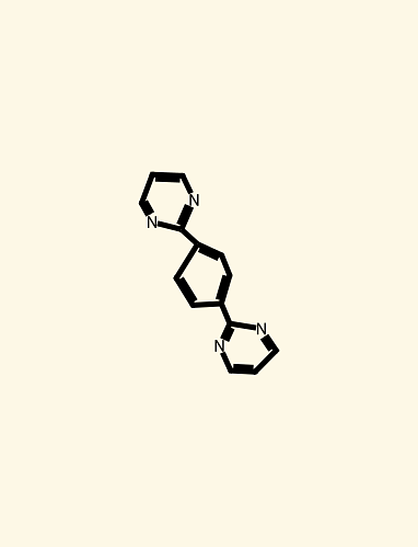 c1cnc(-c2ccc(-c3ncccn3)cc2)nc1